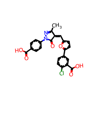 CC1=NN(c2ccc(C(=O)O)cc2)C(=O)C1=Cc1ccc(-c2ccc(Cl)c(C(=O)O)c2)o1